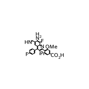 COc1cc(C(=O)O)ccc1-c1nc2c(F)c(N)c(C=N)cc2c(-c2ccc(F)cc2)c1C(C)C